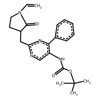 C=CN1CCC(Cc2ncc(NC(=O)OC(C)(C)C)c(-c3ccccc3)n2)C1=O